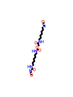 O=C=NCCCCCCCNC(=O)COC(=O)NCCCCCCCNC(=O)N=C=O